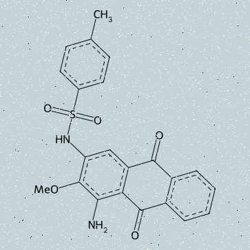 COc1c(NS(=O)(=O)c2ccc(C)cc2)cc2c(c1N)C(=O)c1ccccc1C2=O